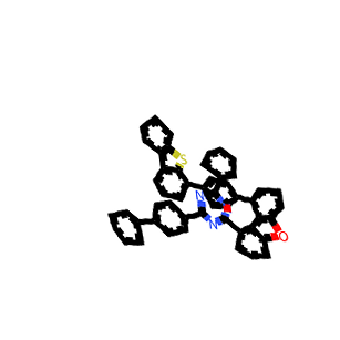 c1ccc(-c2ccc(-c3nc(-c4ccccc4)nc(-c4cccc5oc6cccc(-c7ccc(-c8cccc9c8sc8ccccc89)cc7)c6c45)n3)cc2)cc1